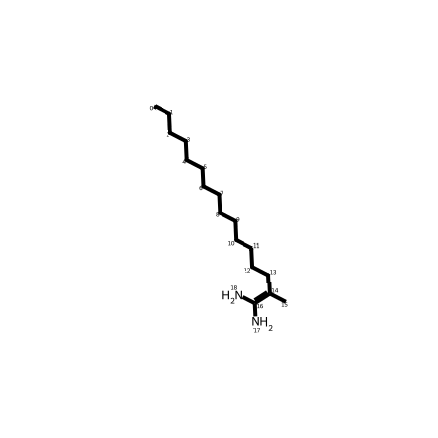 CCCCCCCCCCCCCCC(C)=C(N)N